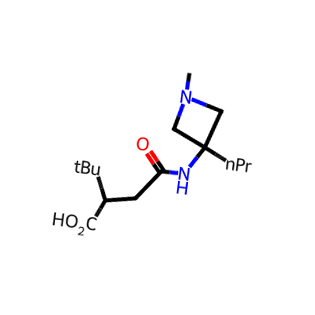 CCCC1(NC(=O)CC(C(=O)O)C(C)(C)C)CN(C)C1